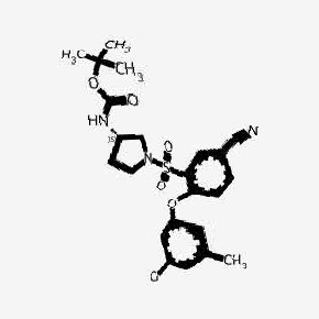 Cc1cc(Cl)cc(Oc2ccc(C#N)cc2S(=O)(=O)N2CC[C@H](NC(=O)OC(C)(C)C)C2)c1